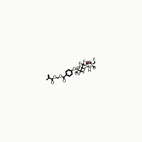 C=C(C)C(=O)OCOC(=O)c1ccc(OS(=O)(=O)C(F)(F)C(F)(F)C(F)(F)S(=O)(=O)NS(=O)(=O)CF)cc1